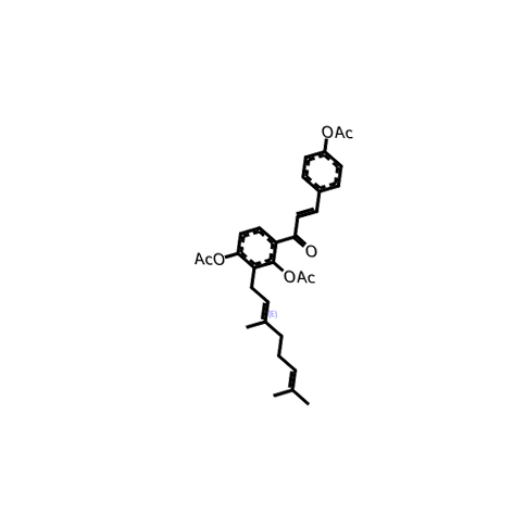 CC(=O)Oc1ccc(C=CC(=O)c2ccc(OC(C)=O)c(C/C=C(\C)CCC=C(C)C)c2OC(C)=O)cc1